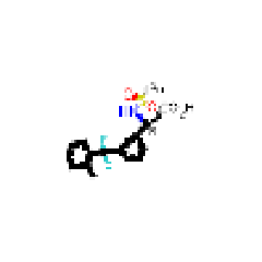 Cc1ccccc1C(F)(F)c1cccc([C@H](CC(=O)O)NS(=O)(=O)C(C)(C)C)c1